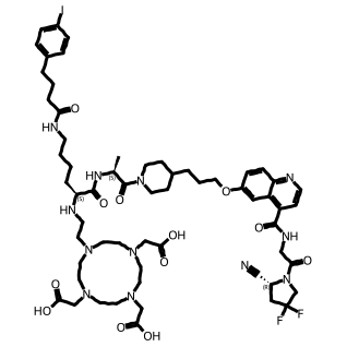 C[C@H](NC(=O)[C@H](CCCCNC(=O)CCCc1ccc(I)cc1)NCCN1CCN(CC(=O)O)CCN(CC(=O)O)CCN(CC(=O)O)CC1)C(=O)N1CCC(CCCOc2ccc3nccc(C(=O)NCC(=O)N4CC(F)(F)C[C@@H]4C#N)c3c2)CC1